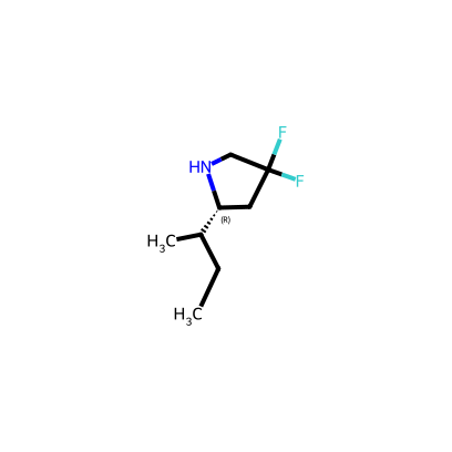 CCC(C)[C@H]1CC(F)(F)CN1